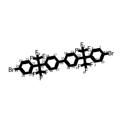 FC(F)(F)C(c1ccc(Br)cc1)(c1ccc(-c2ccc(C(c3ccc(Br)cc3)(C(F)(F)F)C(F)(F)F)cc2)cc1)C(F)(F)F